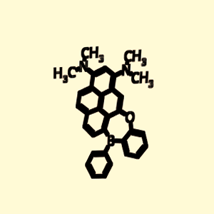 CN(C)c1cc(N(C)C)c2cc3c4c(ccc5ccc1c2c54)B(c1ccccc1)c1ccccc1O3